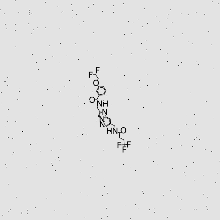 O=C(CCC(F)(F)F)NCc1cnn2cc(CNC(=O)c3cccc(OCC(F)F)c3)nc2c1